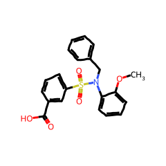 COc1ccccc1N(Cc1ccccc1)S(=O)(=O)c1cccc(C(=O)O)c1